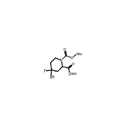 CCCC1(F)CCN(C(=O)OC(C)(C)C)C(C(=O)OC)C1